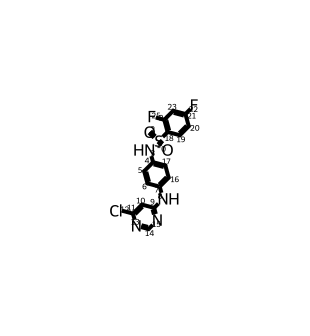 O=S(=O)(Nc1ccc(Nc2cc(Cl)ncn2)cc1)c1ccc(F)cc1F